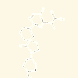 CN(C(=O)O)c1nc(N2CCCC3(CCN([C@H]4CC[C@H](O)CC4)C3=O)C2)ncc1F